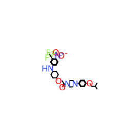 CC(C)COc1ccc(N2CCN(C(=O)CO[C@H]3CC[C@H](Nc4ccc([N+](=O)[O-])c(C(F)(F)F)c4)CC3)CC2)cc1